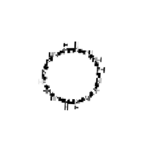 n1p[nH][pH][nH][pH][nH][pH][nH][pH][nH][pH][nH][pH][nH][pH]1